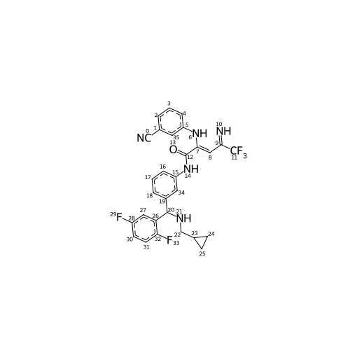 N#Cc1cccc(N/C(=C\C(=N)C(F)(F)F)C(=O)Nc2cccc(C(NCC3CC3)c3cc(F)ccc3F)c2)c1